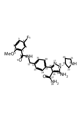 COc1ccc(F)cc1C(=O)NCc1ccc(-c2nn([C@@H]3CCNC3)c(N)c2C(N)=O)cc1